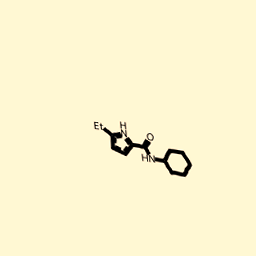 CCc1ccc(C(=O)NC2CCCCC2)[nH]1